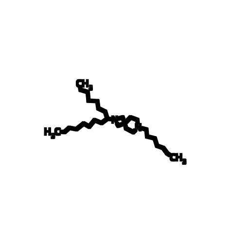 CCCCCCCCC(CCCCCCC)N1CC2(CCN(CCCCCCC)CC2)C1